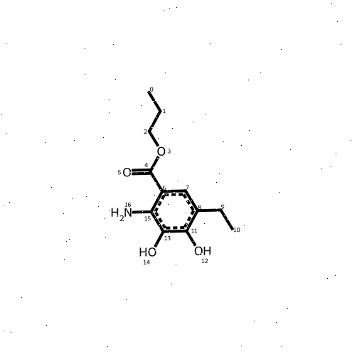 CCCOC(=O)c1cc(CC)c(O)c(O)c1N